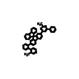 Cc1nc(-c2ccccc2)cc(-c2ccc3c(c2)C2(c4ccccc4-c4ccccc42)c2cc(-c4ccccc4-c4ccncc4C)ccc2-3)n1